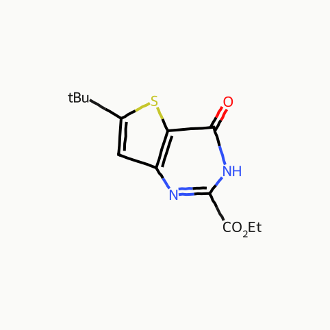 CCOC(=O)c1nc2cc(C(C)(C)C)sc2c(=O)[nH]1